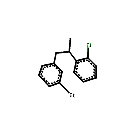 CCc1cccc(CC(C)c2ccccc2Cl)c1